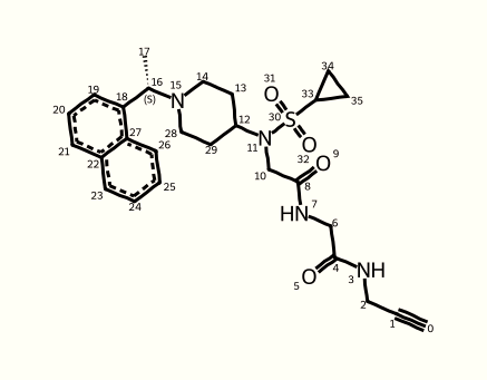 C#CCNC(=O)CNC(=O)CN(C1CCN([C@@H](C)c2cccc3ccccc23)CC1)S(=O)(=O)C1CC1